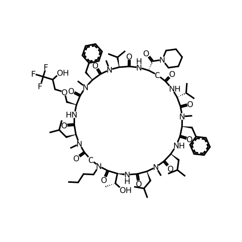 CCCCN1CC(=O)N(C)[C@@H](CC(C)C)C(=O)N[C@@H](COCC(O)C(F)(F)F)C(=O)N(C)[C@@H](Cc2ccccc2)C(=O)N(C)[C@@H](C(C)C)C(=O)N[C@H](C(=O)N2CCCCC2)CC(=O)N[C@H](C(C)C)C(=O)N(C)[C@@H](Cc2ccccc2)C(=O)N[C@@H](CC(C)C)C(=O)N(C)[C@@H](CC(C)C)C(=O)N[C@@H]([C@@H](C)O)C1=O